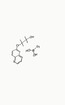 CC(C)(O)C(C)(C)Oc1ccc2ncccc2c1.OB(O)O